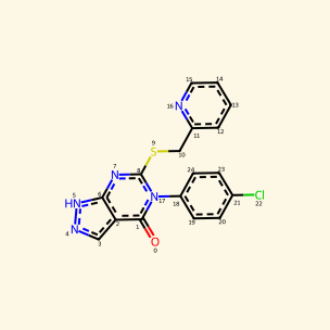 O=c1c2cn[nH]c2nc(SCc2ccccn2)n1-c1ccc(Cl)cc1